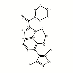 Cc1noc(C)c1-c1ccc2nc(C(=O)N3CCOCC3)n3c2c1OCC3